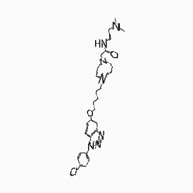 CN(C)CCNC(=O)CN1CCN(CCCCCOc2ccc3c(c2)nnn3-c2ccc(Cl)cc2)CC1